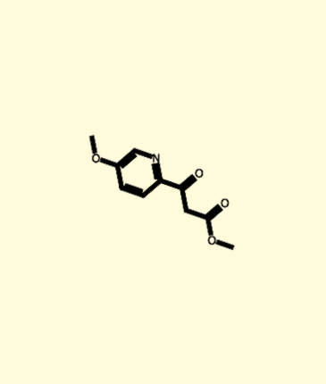 COC(=O)CC(=O)c1ccc(OC)cn1